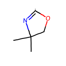 CC1(C)CO[C]=N1